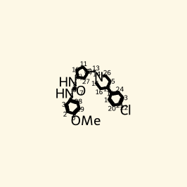 COc1ccc(NC(=O)N[C@H]2CC[C@@H](CN3CCC(c4ccc(Cl)cc4)CC3)C2)cc1